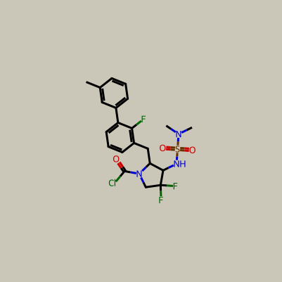 Cc1cccc(-c2cccc(CC3C(NS(=O)(=O)N(C)C)C(F)(F)CN3C(=O)Cl)c2F)c1